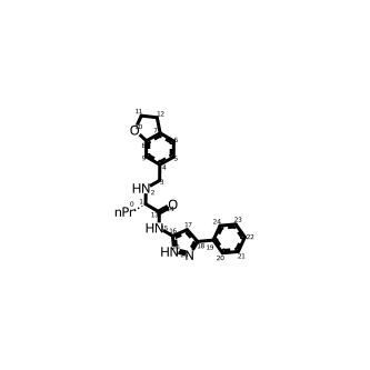 CCC[C@H](NCc1ccc2c(c1)OCC2)C(=O)Nc1cc(-c2ccccc2)n[nH]1